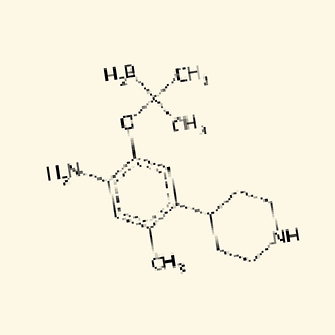 BC(C)(C)Oc1cc(C2CCNCC2)c(C)cc1N